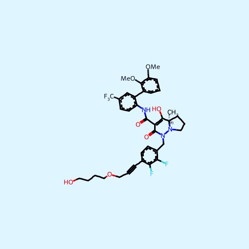 COc1cccc(-c2cc(C(F)(F)F)ccc2NC(=O)C2=C(O)[C@@]3(C)CCCN3N(Cc3ccc(C#CCOCCCCO)c(F)c3F)C2=O)c1OC